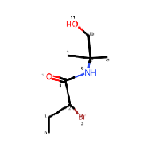 CCC(Br)C(=O)NC(C)(C)CO